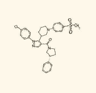 CS(=O)(=O)c1ccc(N2CCCC(c3c(C(=O)N4CC[C@H](c5ccccc5)C4)cnn3-c3ccc(Cl)cc3)C2)cc1